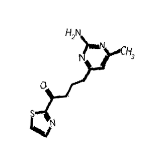 Cc1cc(CC[CH]C(=O)c2nccs2)nc(N)n1